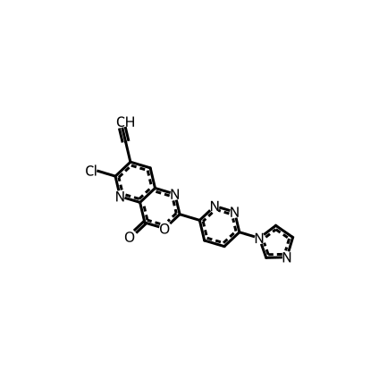 C#Cc1cc2nc(-c3ccc(-n4ccnc4)nn3)oc(=O)c2nc1Cl